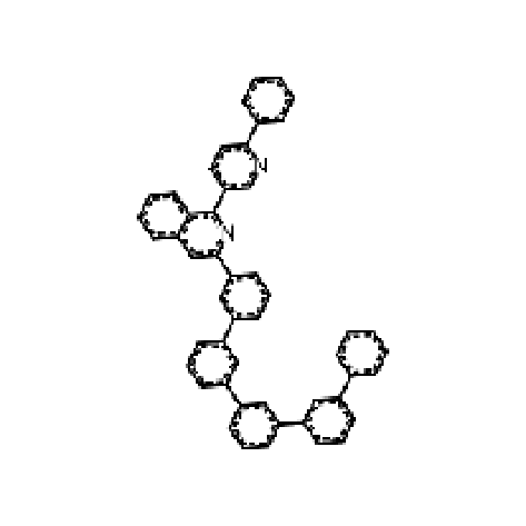 c1ccc(-c2cccc(-c3cccc(-c4cccc(-c5cccc(-c6cc7ccccc7c(-c7ccc(-c8ccccc8)nc7)n6)c5)c4)c3)c2)cc1